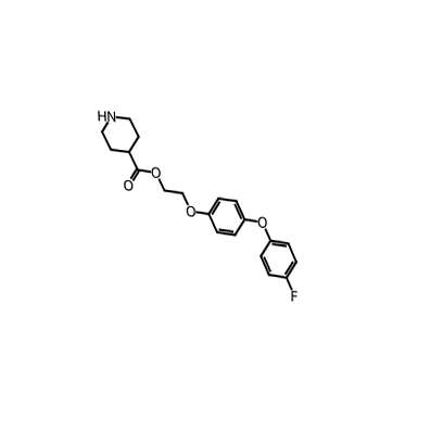 O=C(OCCOc1ccc(Oc2ccc(F)cc2)cc1)C1CCNCC1